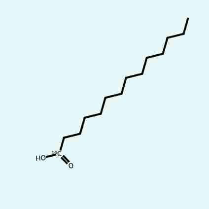 CCCCCCCCCCCCC[14C](=O)O